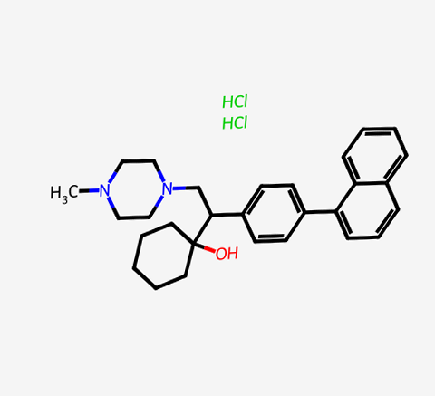 CN1CCN(CC(c2ccc(-c3cccc4ccccc34)cc2)C2(O)CCCCC2)CC1.Cl.Cl